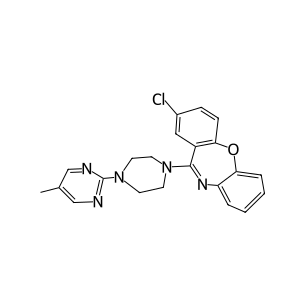 Cc1cnc(N2CCN(C3=Nc4ccccc4Oc4ccc(Cl)cc43)CC2)nc1